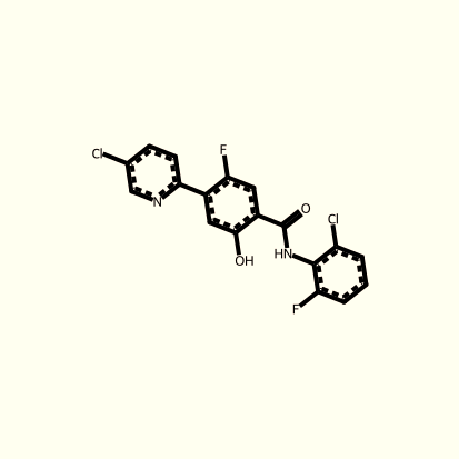 O=C(Nc1c(F)cccc1Cl)c1cc(F)c(-c2ccc(Cl)cn2)cc1O